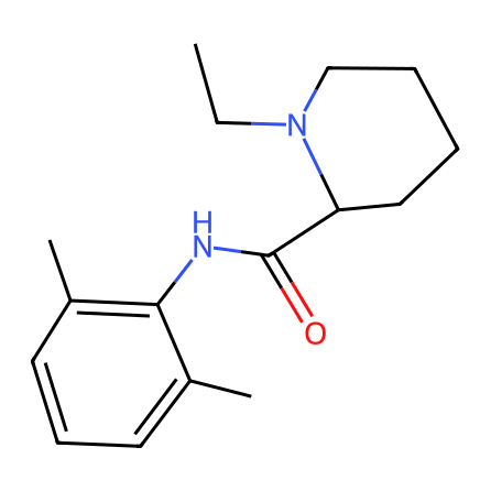 CCN1CCCCC1C(=O)Nc1c(C)cccc1C